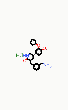 COc1ccc([C@H]2CNC(=O)[C@H](Cc3cccc(CN)c3)C2)cc1OC1CCCC1.Cl